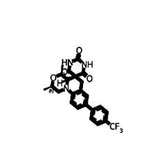 C[C@@H]1CN2c3ccc(-c4ccc(C(F)(F)F)cc4)cc3CC3(C(=O)NC(=O)NC3=O)[C@H]2[C@H](C)O1